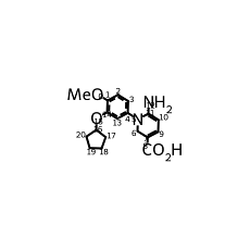 COc1ccc(N2CC(C(=O)O)=CC=C2N)cc1OC1CCCC1